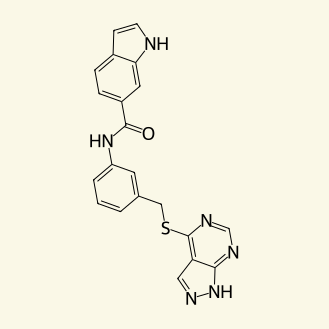 O=C(Nc1cccc(CSc2ncnc3[nH]ncc23)c1)c1ccc2cc[nH]c2c1